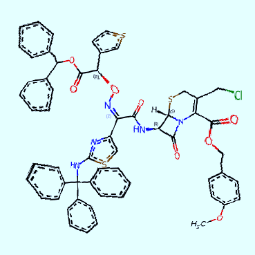 COc1ccc(COC(=O)C2=C(CCl)CS[C@H]3[C@H](NC(=O)/C(=N\O[C@@H](C(=O)OC(c4ccccc4)c4ccccc4)c4ccsc4)c4csc(NC(c5ccccc5)(c5ccccc5)c5ccccc5)n4)C(=O)N23)cc1